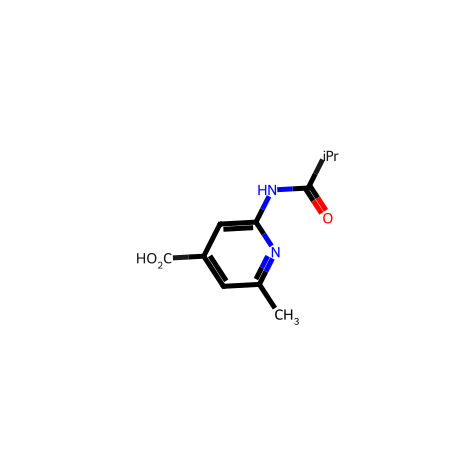 Cc1cc(C(=O)O)cc(NC(=O)C(C)C)n1